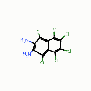 Nc1c(N)c(Cl)c2c(Cl)c(Cl)c(Cl)c(Cl)c2c1Cl